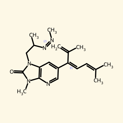 C=C(C)/C(=C\C=C(C)C)c1cnc2c(c1)n(CC(C)/N=N\C)c(=O)n2C